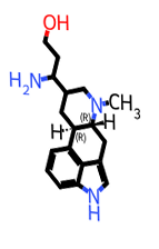 CN1CC(C(N)CCO)C[C@@H]2c3cccc4[nH]cc(c34)C[C@H]21